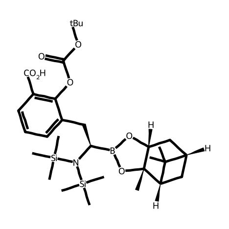 CC(C)(C)OC(=O)Oc1c(C[C@@H](B2O[C@@H]3C[C@@H]4C[C@@H](C4(C)C)[C@]3(C)O2)N([Si](C)(C)C)[Si](C)(C)C)cccc1C(=O)O